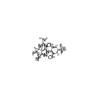 CN(C)C=Nc1c(C2(N)CC2(F)F)c(C#N)nn1-c1c(Cl)cc(C(F)(F)F)cc1Cl